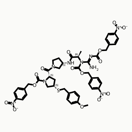 COc1ccc(CS[C@H]2C[C@@H](C(=O)N3CC[C@H](NC(=O)[C@@H](C)N(C(=O)OCc4ccc([N+](=O)[O-])cc4)C(N)=NC(=O)OCc4ccc([N+](=O)[O-])cc4)C3)N(C(=O)OCc3ccc([N+](=O)[O-])cc3)C2)cc1